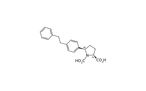 O=C(O)[C@@H]1CC[C@H](c2ccc(CCc3ccccc3)cc2)N1C(=O)O